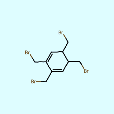 BrC[C]1C=C(CBr)C(CBr)=CC1CBr